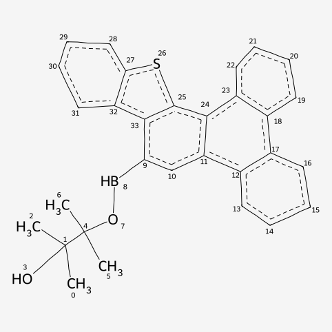 CC(C)(O)C(C)(C)OBc1cc2c3ccccc3c3ccccc3c2c2sc3ccccc3c12